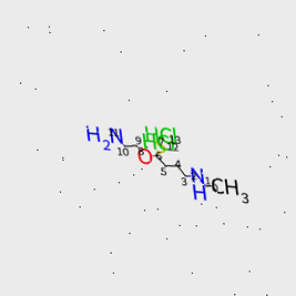 CCNCCCC(=S)OCCN.Cl.Cl